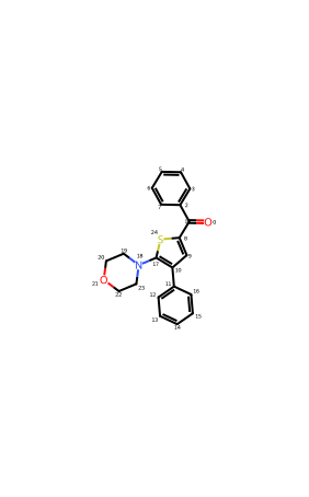 O=C(c1ccccc1)c1cc(-c2ccccc2)c(N2CCOCC2)s1